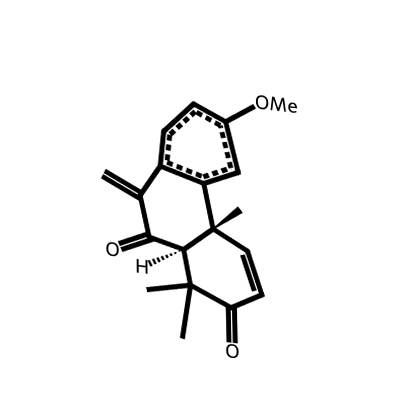 C=C1C(=O)[C@@H]2C(C)(C)C(=O)C=C[C@@]2(C)c2cc(OC)ccc21